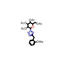 COc1ccccc1Cc1nnn(C2OC(COC(C)=O)C(OC(C)=O)C(OC(C)=O)C2OC(C)=O)n1